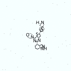 NCC12CCC(c3cc4nc(-c5cccc6[nH]ncc56)nc(N5CCOCC5)c4s3)(CC1)OC2